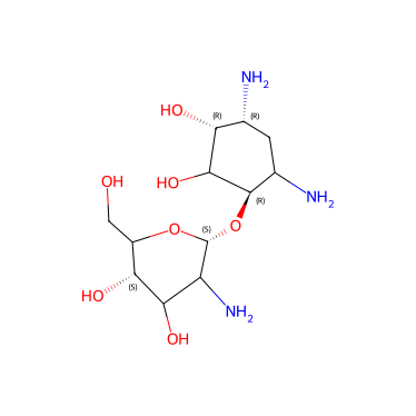 NC1C(O)[C@H](O)C(CO)O[C@@H]1O[C@@H]1C(N)C[C@@H](N)[C@@H](O)C1O